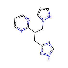 c1cnc(C(Cc2nc[nH]n2)Cn2cccn2)nc1